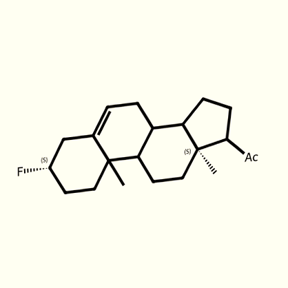 CC(=O)C1CCC2C3CC=C4C[C@@H](F)CCC4(C)C3CC[C@]12C